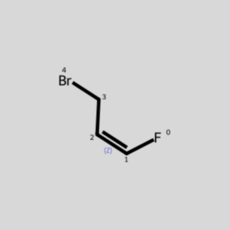 F/C=C\CBr